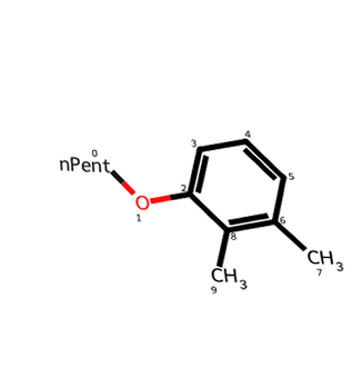 CCCCCOc1cccc(C)c1C